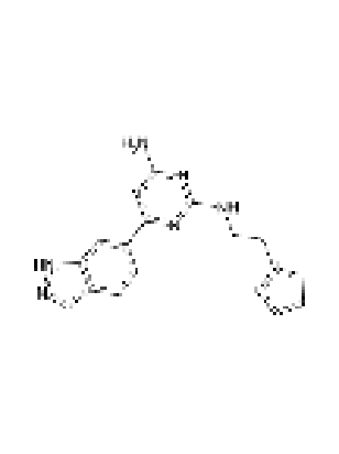 Nc1nc(NCCn2cccn2)nc(-c2ccc3cn[nH]c3c2)n1